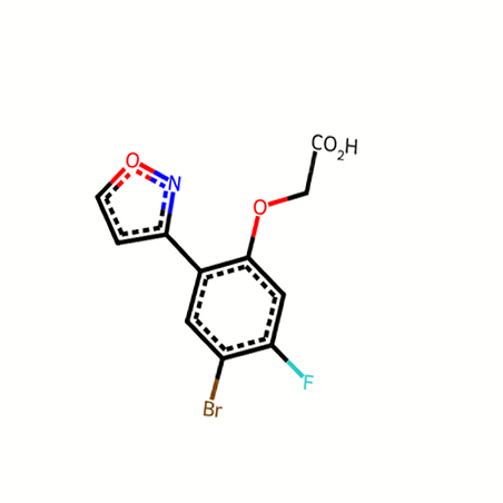 O=C(O)COc1cc(F)c(Br)cc1-c1ccon1